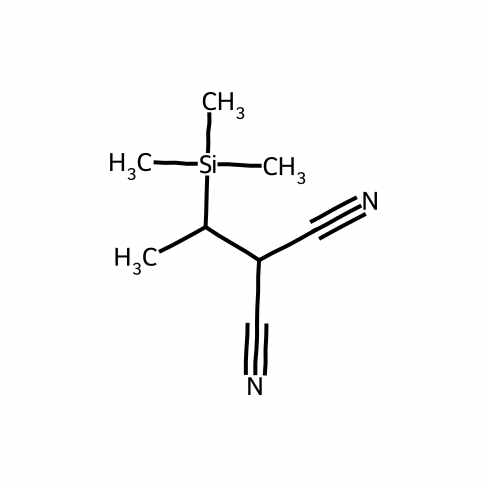 CC(C(C#N)C#N)[Si](C)(C)C